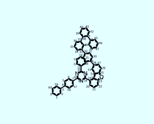 c1ccc(-c2ccc(-c3nc(-c4ccccc4)nc(-c4cccc5oc6ccc(-c7ccc(-c8cccc(-c9ccccc9-c9ccccc9)c8)cc7)cc6c45)n3)cc2)cc1